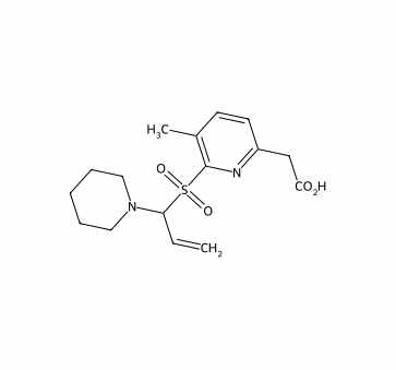 C=CC(N1CCCCC1)S(=O)(=O)c1nc(CC(=O)O)ccc1C